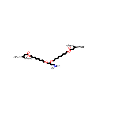 CCCCCC(CCCCC)CC(=O)OCCCCCCCCOCC(CCN(CC)CC)OCCCCCCCCOC(=O)CC(CCCCC)CCCCC